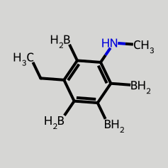 Bc1c(B)c(CC)c(B)c(NC)c1B